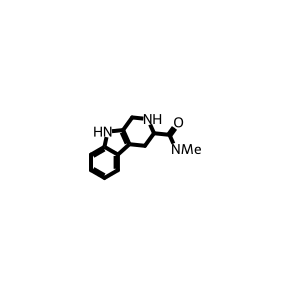 CNC(=O)C1Cc2c([nH]c3ccccc23)CN1